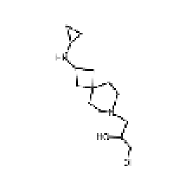 OCC(O)CN1CCC2(CC1)CC(NC1CC1)C2